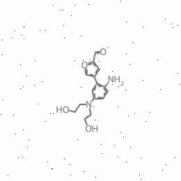 Nc1ccc(N(CCO)CCO)cc1-c1coc(C=O)c1